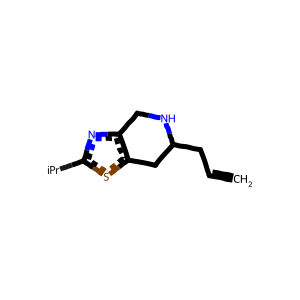 C=CCC1Cc2sc(C(C)C)nc2CN1